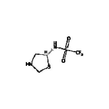 O=S(=O)(N[C@H]1CNCS1)C(F)(F)F